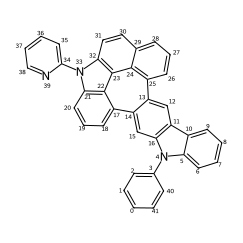 c1ccc(-n2c3ccccc3c3cc4c(cc32)-c2cccc3c2c2c5c-4cccc5ccc2n3-c2ccccn2)cc1